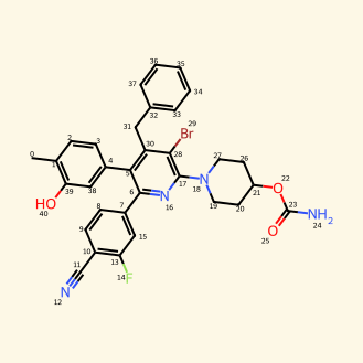 Cc1ccc(-c2c(-c3ccc(C#N)c(F)c3)nc(N3CCC(OC(N)=O)CC3)c(Br)c2Cc2ccccc2)cc1O